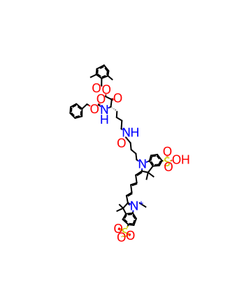 CC[N+]1=C(/C=C/C=C/C=C2/N(CCCCC(=O)NCCCC[C@H](NC(=O)OCc3ccccc3)C(=O)COC(=O)c3c(C)cccc3C)c3ccc(S(=O)(=O)O)cc3C2(C)C)C(C)(C)c2cc(S(=O)(=O)[O-])ccc21